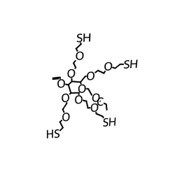 C=COC(C(COCCOCCS)OCCOCCS)C(OCCOCCS)C(COCCOCCS)OCCOCCC